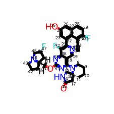 [2H]C([2H])(Oc1nc(N2CCCC[C@]23CNC(=O)C3)c2cnc(-c3cc(O)cc4ccc(F)c(C#C)c34)c(F)c2n1)[C@@]12CCCN1C[C@H](F)C2